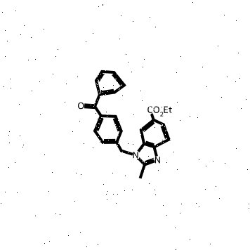 CCOC(=O)c1ccc2nc(C)n(Cc3ccc(C(=O)c4ccccc4)cc3)c2c1